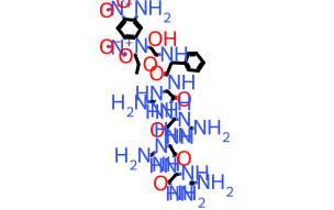 CCCN(c1cc(N)c([N+](=O)[O-])cc1[N+](=O)[O-])C(O)C(=O)NC(C(=O)NC(NC(=N)N)C(=O)NC(NC(=N)N)C(=O)NC(NC(=N)N)C(=O)NC(NC(=N)N)C(N)=O)c1ccccc1